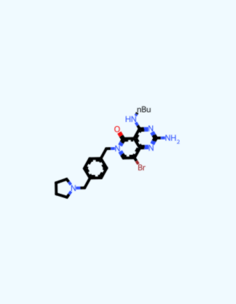 CCCCNc1nc(N)nc2c(Br)cn(Cc3ccc(CN4CCCC4)cc3)c(=O)c12